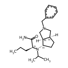 CCC[C@@H](C(N)=O)N(C(C)C)[C@H]1CC[C@@H]2CN(Cc3ccccc3)C[C@@H]21